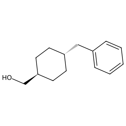 OC[C@H]1CC[C@H](Cc2ccccc2)CC1